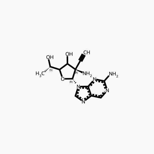 C#C[C@@]1(N)C(O)C([C@H](C)O)O[C@H]1n1cnc2cnc(N)nc21